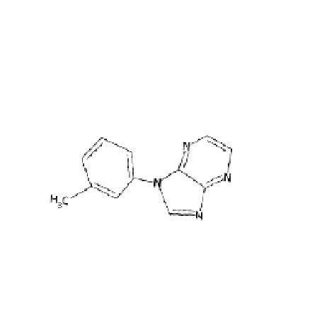 Cc1cccc(-n2cnc3nccnc32)c1